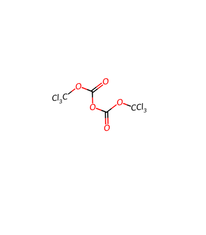 O=C(OC(=O)OC(Cl)(Cl)Cl)OC(Cl)(Cl)Cl